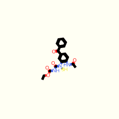 CCOC(=O)NC(=O)N(S)c1cc(C(=O)c2ccccc2)ccc1NC(C)=O